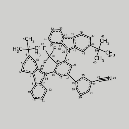 CC(C)(C)c1ccc2c3ccccc3n(-c3cc(-c4cccc(C#N)c4)cc(-n4c5ccccc5c5ccc(C(C)(C)C)cc54)c3C(F)(F)F)c2c1